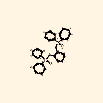 O=P(Cc1ccccc1CP(=O)(c1ccccc1)c1ccccc1)(c1ccccc1)c1ccccc1